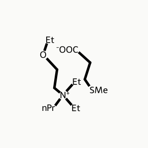 CCC[N+](CC)(CC)CCOCC.CSCCC(=O)[O-]